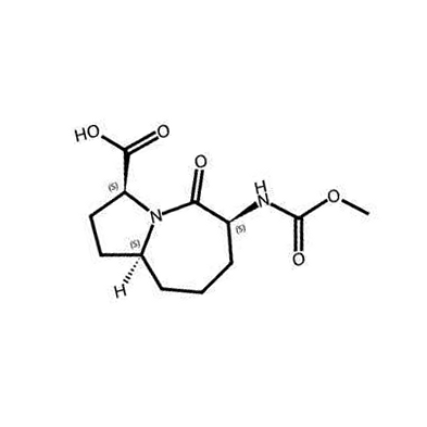 COC(=O)N[C@H]1CCC[C@H]2CC[C@@H](C(=O)O)N2C1=O